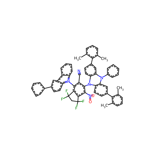 Cc1cccc(C)c1-c1ccc2c(c1)N(c1ccccc1)c1cc(-c3c(C)cccc3C)ccc1N2c1c(C#N)c(-n2c3ccccc3c3cc(-c4ccccc4)ccc32)c2c(c1[N+](=O)[O-])C(F)(F)CC2(F)F